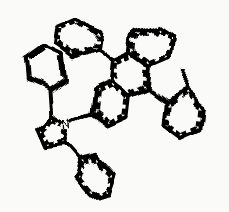 Cc1ccccc1-c1c2ccccc2c(-c2ccccc2)c2cc(-n3c(-c4ccccc4)ccc3C3C=CC=CC3)ccc12